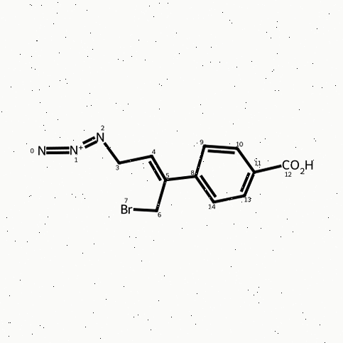 [N-]=[N+]=NC/C=C(\CBr)c1ccc(C(=O)O)cc1